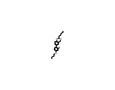 CCCCCC1OCc2cc(-c3ccc(OCCCC)cc3F)ccc2O1